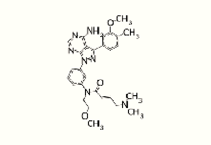 COCCN(C(=O)/C=C/CN(C)C)c1cccc(-n2nc(-c3ccc(C)c(OC)c3)c3c(N)ncnc32)c1